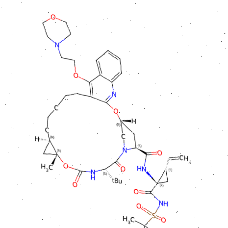 C=C[C@@H]1C[C@]1(NC(=O)[C@@H]1C[C@@H]2CN1C(=O)[C@H](C(C)(C)C)NC(=O)O[C@]1(C)C[C@H]1CCCCCc1c(nc3ccccc3c1OCCN1CCOCC1)O2)C(=O)NS(=O)(=O)C1(C)CC1